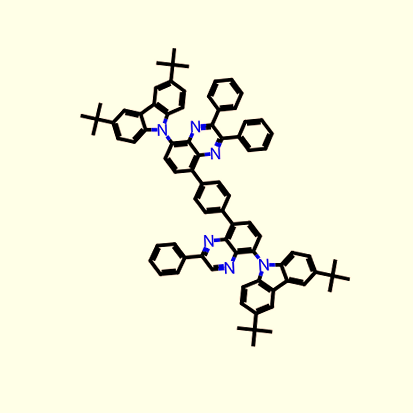 CC(C)(C)c1ccc2c(c1)c1cc(C(C)(C)C)ccc1n2-c1ccc(-c2ccc(-c3ccc(-n4c5ccc(C(C)(C)C)cc5c5cc(C(C)(C)C)ccc54)c4nc(-c5ccccc5)c(-c5ccccc5)nc34)cc2)c2nc(-c3ccccc3)cnc12